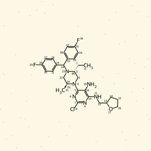 CC[C@@H]1CN(c2nc(Cl)nc(NCC3CCCO3)c2N)[C@@H](C)CN1C(c1ccc(F)cc1)c1ccc(F)cc1